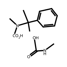 CN(C(=O)O)C(C)(C)c1ccccc1.CNC(=O)O